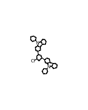 Clc1cc(-c2ccc3c(c2)c2ccccc2n3-c2ccccc2)cc(-c2ccc3c4ccccc4n(-c4ccccc4)c3c2)c1